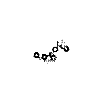 CC(Cc1ccccn1)N[C@H]1CC[C@H](n2cc(-c3ccc(Oc4ccccc4)cc3)c3c(N)ncnc32)CC1